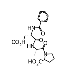 C[C@H](NC(=O)[C@H](CC(=O)O)NC(=O)c1ccccc1)C(=O)N1CCC[C@H]1C(=O)O